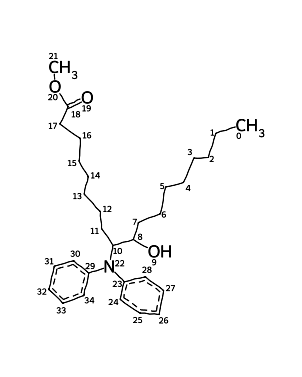 CCCCCCCCC(O)C(CCCCCCCC(=O)OC)N(c1ccccc1)c1ccccc1